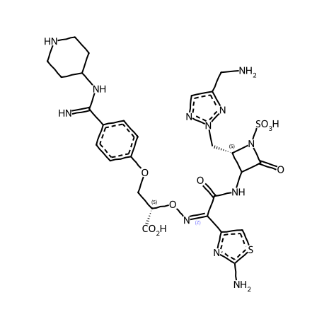 N=C(NC1CCNCC1)c1ccc(OC[C@H](O/N=C(\C(=O)NC2C(=O)N(S(=O)(=O)O)[C@H]2Cn2ncc(CN)n2)c2csc(N)n2)C(=O)O)cc1